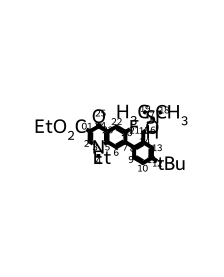 CCOC(=O)c1cn(CC)c2cc(-c3ccc(C(C)(C)C)cc3CO[SiH](C)C)c(F)cc2c1=O